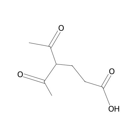 CC(=O)C(CCC(=O)O)C(C)=O